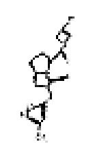 Cc1cc(Cn2nc3n(c2=O)C(C(=O)N2CC(F)C2)CCC3)on1